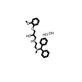 COc1ccccc1OCC(O)CNCCN(C)C(c1ccccc1)c1ccccc1.Cl.Cl